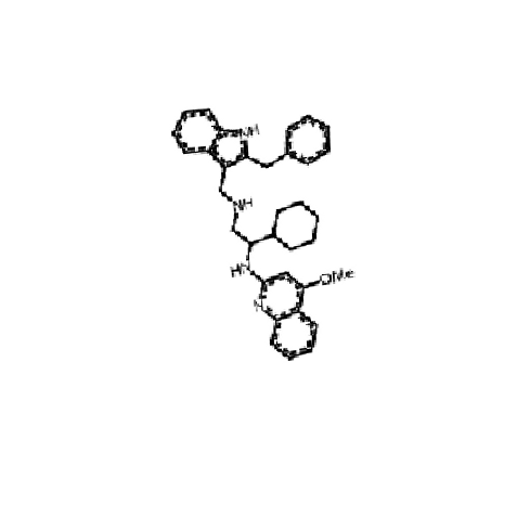 COc1cc(NC(CNCc2c(Cc3ccccc3)[nH]c3ccccc23)C2CCCCC2)nc2ccccc12